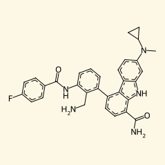 CN(c1ccc2c(c1)[nH]c1c(C(N)=O)ccc(-c3cccc(NC(=O)c4ccc(F)cc4)c3CN)c12)C1CC1